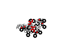 COC1OC(COC(=O)c2ccccc2)C(OC2OC(COC(=O)c3ccccc3)C(SC3OC(COC(=O)c4ccccc4)C(O[Si](C)(C)C(C)(C)C)C(OC(=O)c4ccccc4)C3N3C(=O)c4ccccc4C3=O)C(OC(=O)c3ccccc3)C2N2C(=O)c3ccccc3C2=O)C(OC(=O)c2ccccc2)C1N1C(=O)c2ccccc2C1=O